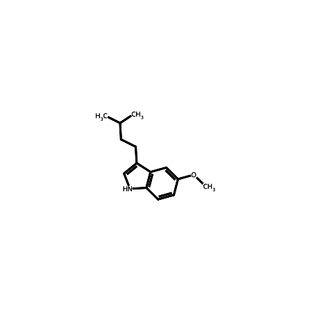 COc1ccc2[nH]cc(CCC(C)C)c2c1